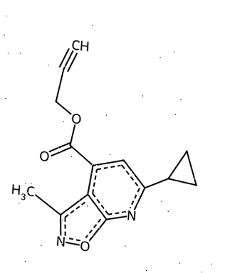 C#CCOC(=O)c1cc(C2CC2)nc2onc(C)c12